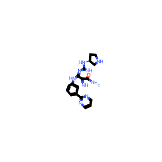 N=C(/N=C(/Nc1cccc(-c2ncccn2)c1)C(=N)C(N)=O)N[C@@H]1CCNC1